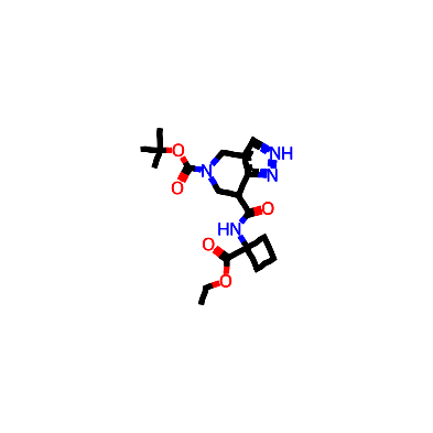 CCOC(=O)C1(NC(=O)C2CN(C(=O)OC(C)(C)C)Cc3c[nH]nc32)CCC1